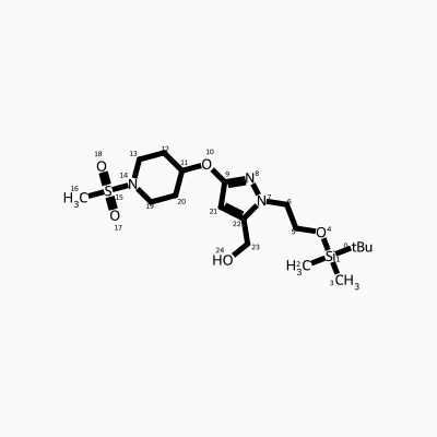 CC(C)(C)[Si](C)(C)OCCn1nc(OC2CCN(S(C)(=O)=O)CC2)cc1CO